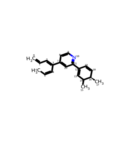 C=C/C=C(\C=C/C)c1ccnc(C2=CC(C)[C@H](C)C=C2)c1